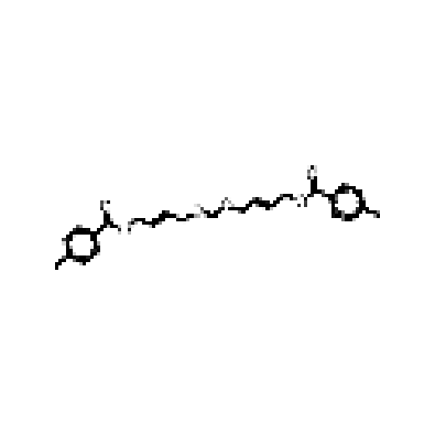 Cc1ccc(C(=O)OCC=CCOCOCC=CCOC(=O)c2ccc(C)cc2)cc1